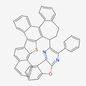 c1ccc(-c2nc3oc4ccccc4c3nc2C2CCc3ccccc3-c3c2c2sc4c5ccccc5ccc4c2c2ccccc32)cc1